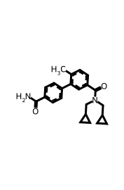 Cc1ccc(C(=O)N(CC2CC2)CC2CC2)cc1-c1ccc(C(N)=O)cc1